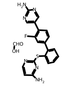 Nc1ccnc(Sc2ccccc2-c2ccc(-c3cnc(N)nc3)c(F)c2)n1.O=CO